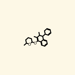 CC1=C(OC2CCCC(C)O2)c2ccccc2C(C2C=CC=CC2)C1C